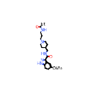 CCC(=O)NCCCN1CCC(CNC(=O)c2n[nH]c3ccc(OC)cc23)CC1